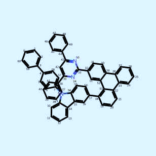 c1ccc(-c2ccc(-n3c4ccccc4c4cc(-c5cccc6c7ccccc7c7ccc(-c8nc(-c9ccccc9)cc(-c9ccccc9)n8)cc7c56)ccc43)cc2)cc1